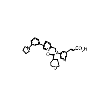 O=C(O)C=Cc1cncc(N(Cc2ccc(-c3cccc(N4CCCC4)c3)cn2)C(=O)C2CCOCC2)c1